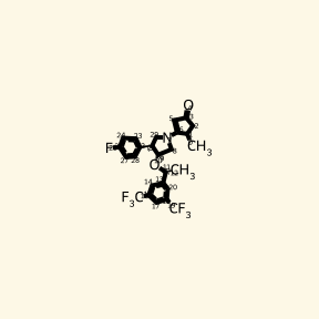 CC1CC(=O)C=C1N1C[C@H](O[C@H](C)c2cc(C(F)(F)F)cc(C(F)(F)F)c2)[C@@H](c2ccc(F)cc2)C1